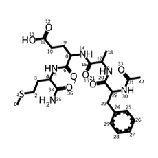 CSCCC(NC(=O)C(CCC(=O)O)NC(=O)C(C)NC(=O)C(Cc1ccccc1)NC(C)=O)C(N)=O